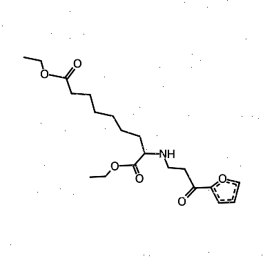 CCOC(=O)CCCCCCC(NCCC(=O)c1ccco1)C(=O)OCC